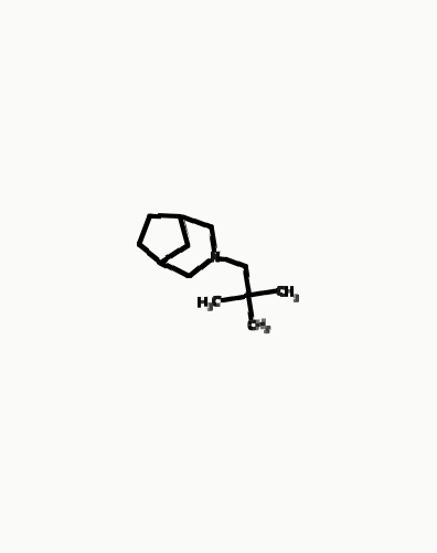 CC(C)(C)CN1CC2CCC(C2)C1